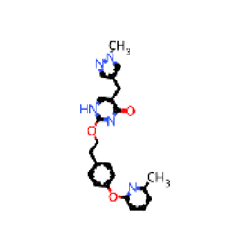 Cc1cccc(Oc2ccc(CCOc3nc(=O)c(Cc4cnn(C)c4)c[nH]3)cc2)n1